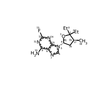 CCC1(CC)O[C@@H](n2cnc3c(N)nc(F)nc32)C[C@@H]1C